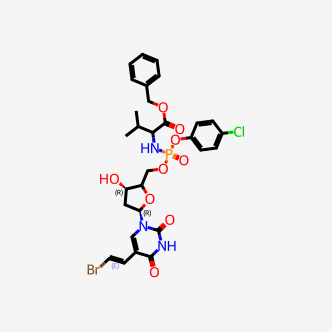 CC(C)C(NP(=O)(OCC1O[C@@H](n2cc(/C=C/Br)c(=O)[nH]c2=O)C[C@H]1O)Oc1ccc(Cl)cc1)C(=O)OCc1ccccc1